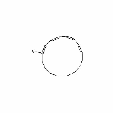 [Al][C]1=CC=CC=CC=CCCCCCCCC1